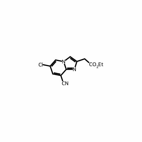 CCOC(=O)Cc1cn2cc(Cl)cc(C#N)c2n1